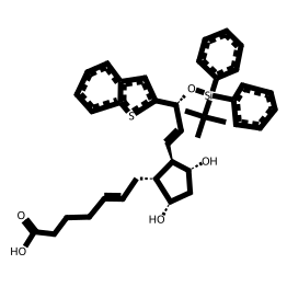 CC(C)(C)[Si](O[C@H](/C=C/[C@@H]1[C@@H](CC=CCCCC(=O)O)[C@@H](O)C[C@H]1O)c1cc2ccccc2s1)(c1ccccc1)c1ccccc1